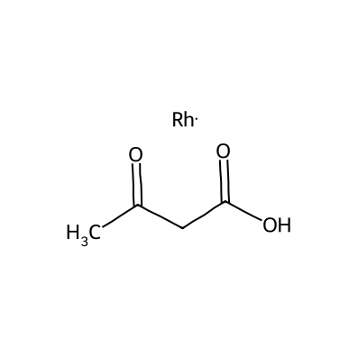 CC(=O)CC(=O)O.[Rh]